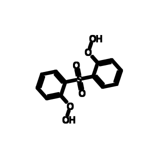 O=S(=O)(c1ccccc1OO)c1ccccc1OO